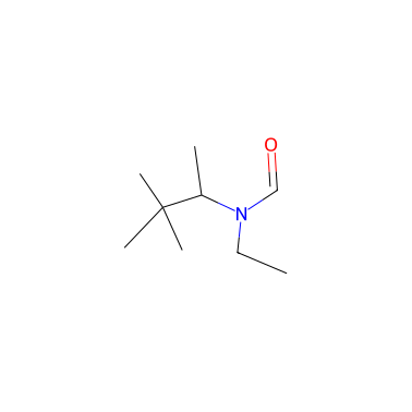 CCN(C=O)C(C)C(C)(C)C